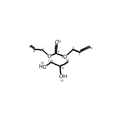 C=CCOC(=O)OCC=C.CC(O)CO